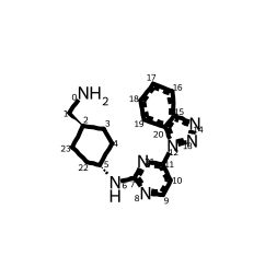 NC[C@H]1CC[C@H](Nc2nccc(-n3nnc4ccccc43)n2)CC1